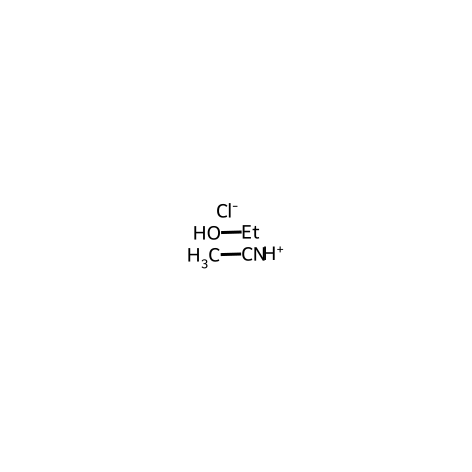 CC#N.CCO.[Cl-].[H+]